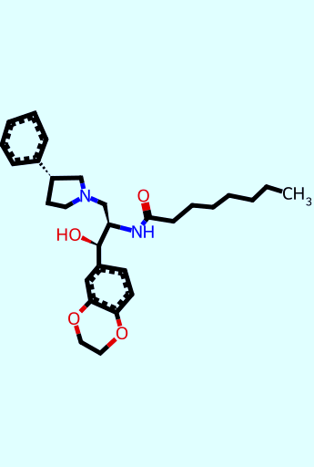 CCCCCCCC(=O)N[C@H](CN1CC[C@H](c2ccccc2)C1)[C@H](O)c1ccc2c(c1)OCCO2